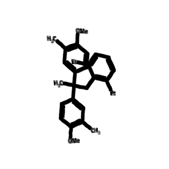 CCc1c[c]cc(CC)c1CC(C)(c1ccc(OC)c(C)c1)c1ccc(OC)c(C)c1